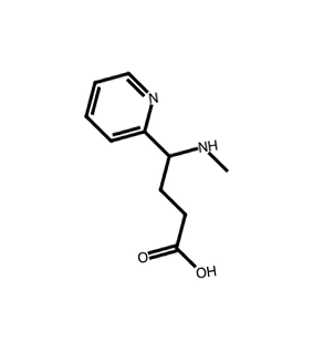 CNC(CCC(=O)O)c1ccccn1